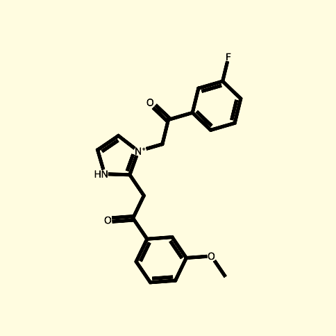 COc1cccc(C(=O)Cc2[nH]cc[n+]2CC(=O)c2cccc(F)c2)c1